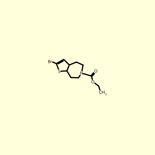 CCOC(=O)N1CCC2C=C(Br)SC2CC1